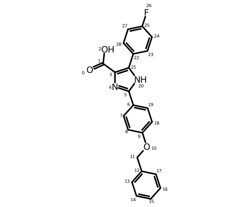 O=C(O)c1nc(-c2ccc(OCc3ccccc3)cc2)[nH]c1-c1ccc(F)cc1